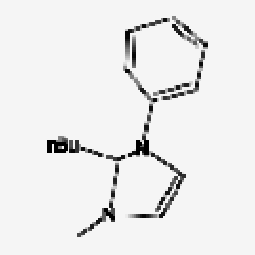 CCCCC1N(C)C=CN1c1ccccc1